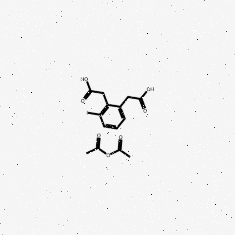 CC(=O)OC(C)=O.O=C(O)Cc1cccc(I)c1CC(=O)O